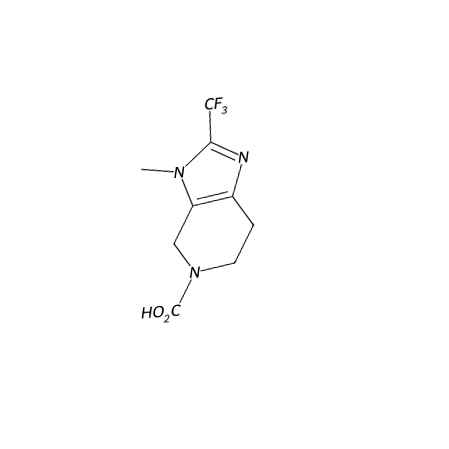 Cn1c(C(F)(F)F)nc2c1CN(C(=O)O)CC2